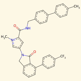 Cc1ccc(-c2ccc(CNC(=O)c3cc(N4Cc5cccc(-c6ccc(C(F)(F)F)cc6)c5C4=O)cn3C)cc2)cc1